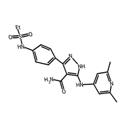 CCS(=O)(=O)Nc1ccc(-c2n[nH]c(Nc3cc(C)nc(C)c3)c2C(N)=O)cc1